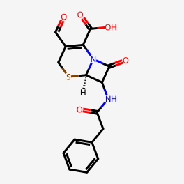 O=CC1=C(C(=O)O)N2C(=O)C(NC(=O)Cc3ccccc3)[C@H]2SC1